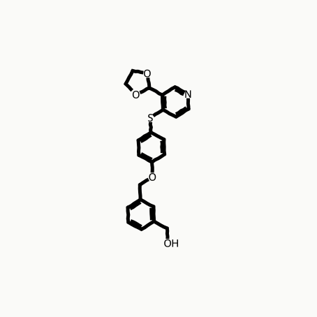 OCc1cccc(COc2ccc(Sc3ccncc3C3OCCO3)cc2)c1